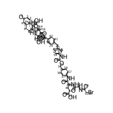 C[C@]12C=CC(=O)C=C1CC[C@@H]1[C@@H]2[C@@H](O)C[C@@]2(C)[C@H]1C[C@H]1O[C@H](c3ccc(Cc4nc(NC(=O)OCc5ccc(NC(=O)[C@H](CCC(=O)O)NC(=O)CNC(=O)CBr)cc5)cs4)cc3)O[C@]12C(=O)CO